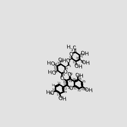 C[C@@H]1O[C@H](OC[C@H]2OC(Oc3c(-c4ccc(O)c(O)c4)oc4cc(O)cc(O)c4c3=O)[C@H](O)[C@@H](O)[C@@H]2O)[C@H](O)[C@H](O)[C@H]1O